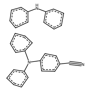 N#Cc1ccc(N(c2ccccc2)c2ccccc2)cc1.c1ccc(Nc2ccccc2)cc1